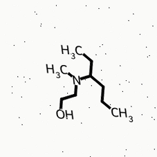 CCCC(CC)N(C)CCO